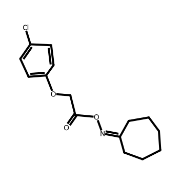 O=C(COc1ccc(Cl)cc1)ON=C1CCCCCC1